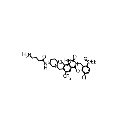 CC[S+]([O-])c1ccc(Cl)cc1Cn1c(=O)[nH]c2c(Cl)c(CN3CCC[C@@H](NC(=O)CCCN)C3)c(C(F)(F)F)cc2c1=O